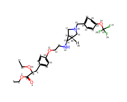 CCOC(=O)[C@H](Cc1ccc(OCCN[C@H]2C3CN(Cc4ccc(OC(F)(F)F)cc4)C[C@@H]32)cc1)OCC